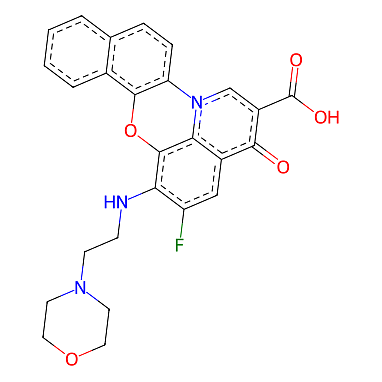 O=C(O)c1cn2c3c(c(NCCN4CCOCC4)c(F)cc3c1=O)Oc1c-2ccc2ccccc12